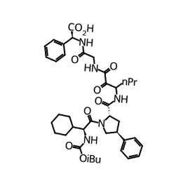 CCCC(NC(=O)[C@@H]1C[C@@H](c2ccccc2)CN1C(=O)[C@@H](NC(=O)OCC(C)C)C1CCCCC1)C(=O)C(=O)NCC(=O)N[C@H](C(=O)O)c1ccccc1